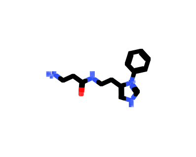 NCCC(=O)NCCc1c[nH]c[n+]1-c1ccccc1